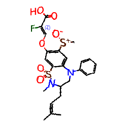 CC(C)=CCC1CN(c2ccccc2)c2cc([S+](C)[O-])c(O/C=C(\F)C(=O)O)cc2S(=O)(=O)N1C